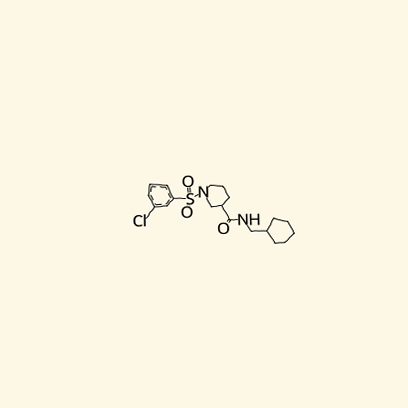 O=C(NCC1CCCCC1)C1CCCN(S(=O)(=O)c2cccc(Cl)c2)C1